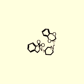 O=S1(=O)c2ccccc2CN1[C@H]1CCCN(C[C@H]2COc3ccccc3O2)C1